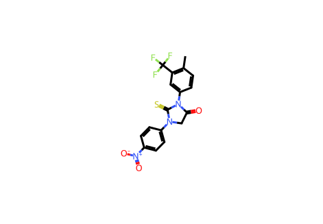 Cc1ccc(N2C(=O)CN(c3ccc([N+](=O)[O-])cc3)C2=S)cc1C(F)(F)F